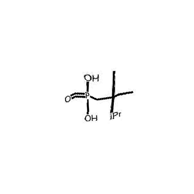 CC(C)C(C)(C)P(=O)(O)O